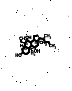 CCC[C@@H](C)[C@H]1CCC2C3C(O)[C@H](CC)[C@@H]4C[C@H](O)CC[C@]4(C)C3[C@@H](O)C[C@@]21C